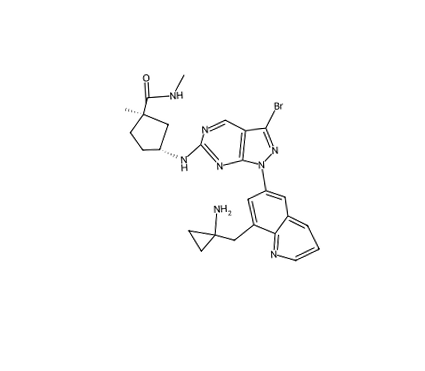 CNC(=O)[C@]1(C)CC[C@@H](Nc2ncc3c(Br)nn(-c4cc(CC5(N)CC5)c5ncccc5c4)c3n2)C1